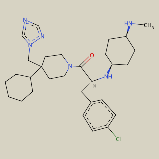 CN[C@H]1CC[C@@H](N[C@H](Cc2ccc(Cl)cc2)C(=O)N2CCC(Cn3cncn3)(C3CCCCC3)CC2)CC1